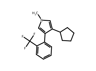 Cn1cc(-c2ccccc2C(F)(F)F)c(C2CCCC2)c1